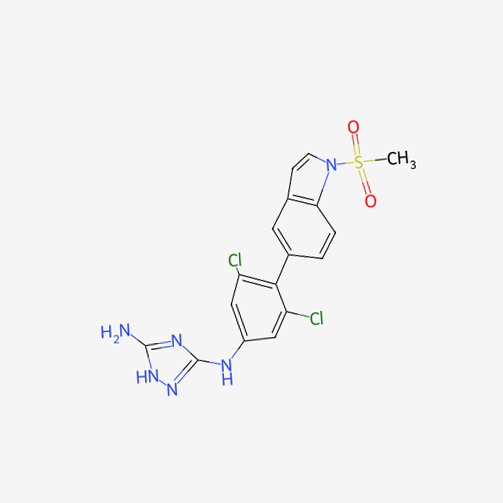 CS(=O)(=O)n1ccc2cc(-c3c(Cl)cc(Nc4n[nH]c(N)n4)cc3Cl)ccc21